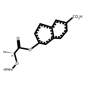 CCCCCCO[C@H](C)C(=O)Oc1ccc2cc(C(=O)O)ccc2c1